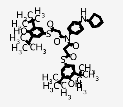 CC(C)(C)c1cc(SC(=O)CC(=O)N(C(=O)CC(=O)Sc2cc(C(C)(C)C)c(O)c(C(C)(C)C)c2)c2ccc(NC3=CC=CCC3)cc2)cc(C(C)(C)C)c1O